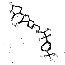 C=C1C2=CC=C(CNC(O)C(F)(F)c3ccc(C(C)(C)C)cc3)CC2CN1C1CCC(O)NC1=O